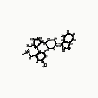 CN1Cc2cc(Cl)ccc2-n2c(nnc2[C@H]2CC[C@@H](c3noc4ccccc43)CC2)C1